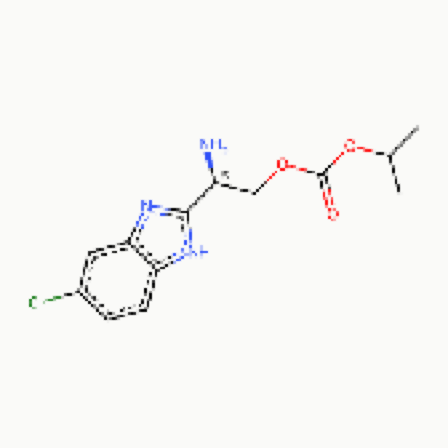 CC(C)OC(=O)OC[C@H](N)c1nc2cc(Cl)ccc2[nH]1